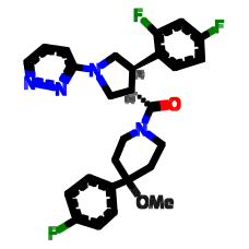 COC1(c2ccc(F)cc2)CCN(C(=O)[C@@H]2CN(c3cccnn3)C[C@H]2c2ccc(F)cc2F)CC1